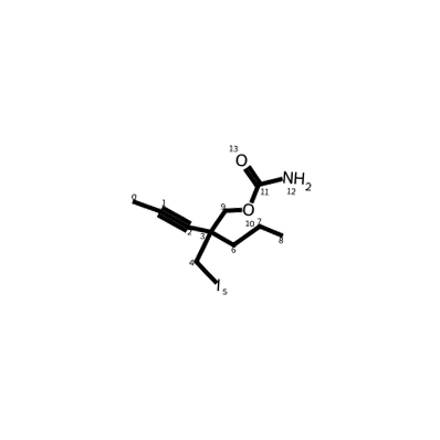 CC#CC(CI)(CCC)COC(N)=O